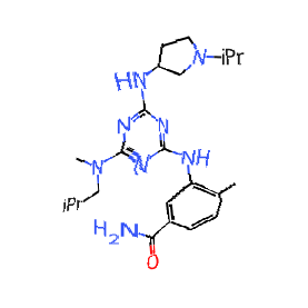 Cc1ccc(C(N)=O)cc1Nc1nc(N[C@H]2CCN(C(C)C)C2)nc(N(C)CC(C)C)n1